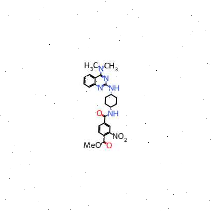 COC(=O)c1ccc(C(=O)N[C@H]2CC[C@@H](Nc3nc(N(C)C)c4ccccc4n3)CC2)cc1[N+](=O)[O-]